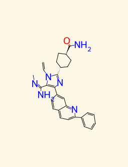 C=Cn1c(/C(N)=N\C)c(-c2ccc3ccc(-c4ccccc4)nc3c2)nc1[C@H]1CC[C@H](C(N)=O)CC1